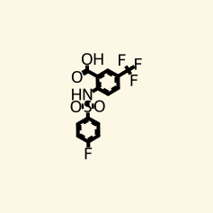 O=C(O)c1cc(C(F)(F)F)ccc1NS(=O)(=O)c1ccc(F)cc1